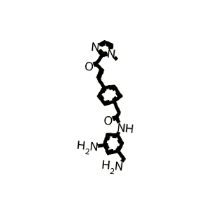 Cn1ccnc1C(=O)/C=C/c1ccc(CC(=O)Nc2cc(N)cc(CN)c2)cc1